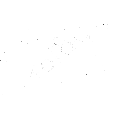 CCCN1CCN(S(=O)(=O)c2ccc(OC(F)(F)F)cc2)[C@@H](C(=O)O)C1